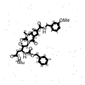 COc1cccc(CNC(=O)c2cc3c(=O)n(CC(=O)C(CC(=O)OC(C)(C)C)NC(=O)OCc4ccccc4)c(=O)n(C)c3s2)c1